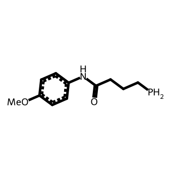 COc1ccc(NC(=O)CCCP)cc1